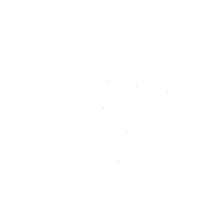 Cc1nc(N2CCN(C)CC2)c2nc(-c3ccccc3C(F)(F)F)n(C3CCOC3)c2n1